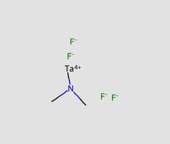 C[N](C)[Ta+4].[F-].[F-].[F-].[F-]